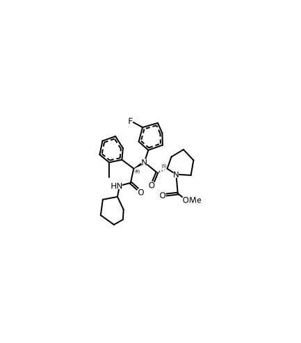 COC(=O)N1CCCC[C@H]1C(=O)N(c1cccc(F)c1)[C@@H](C(=O)NC1CCCCC1)c1ccccc1C